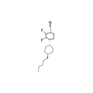 CCCCC[C@H]1CC[C@H](c2ccc(C#N)c(F)c2F)CC1